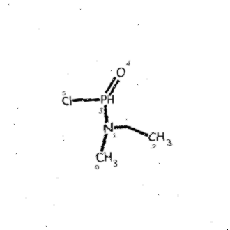 CN(C)[PH](=O)Cl